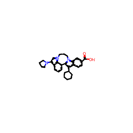 O=C(O)c1ccc2c(C3CCCCC3)c3n(c2c1)CCCn1cc(N2CCCC2)c2cccc-3c21